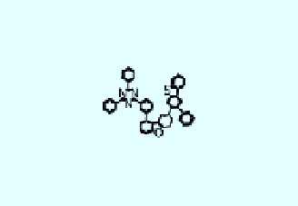 C1=C(c2cc3sc4ccccc4c3cc2-c2ccccc2)CCc2oc3cccc(-c4cccc(-c5nc(-c6ccccc6)nc(-c6ccccc6)n5)c4)c3c21